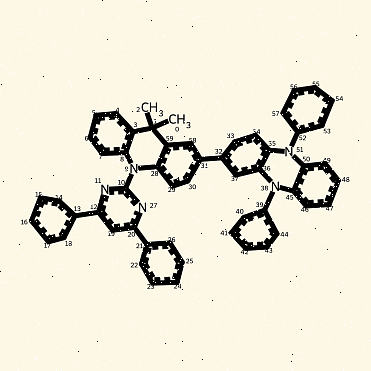 CC1(C)c2ccccc2N(c2nc(-c3ccccc3)cc(-c3ccccc3)n2)c2ccc(-c3ccc4c(c3)N(c3ccccc3)c3ccccc3N4c3ccccc3)cc21